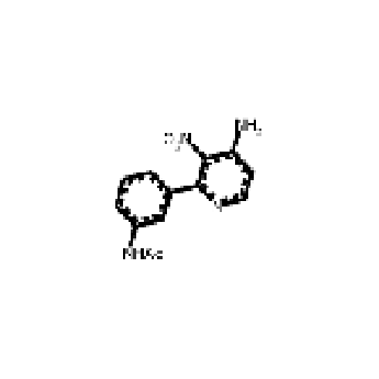 CC(=O)Nc1cccc(-c2nccc(N)c2[N+](=O)[O-])c1